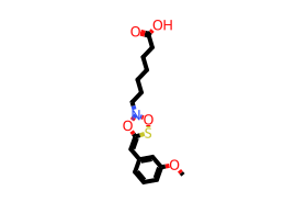 COc1cccc(C=C2ON(CCCCCCC(=O)O)OS2)c1